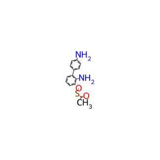 CC(=O)SOc1cccc(-c2ccc(N)cc2)c1N